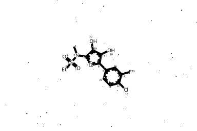 CCS(=O)(=O)N(C)c1oc(-c2ccc(Cl)c(F)c2)c(O)c1O